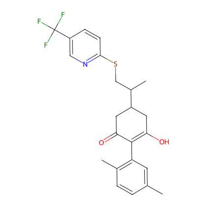 Cc1ccc(C)c(C2=C(O)CC(C(C)CSc3ccc(C(F)(F)F)cn3)CC2=O)c1